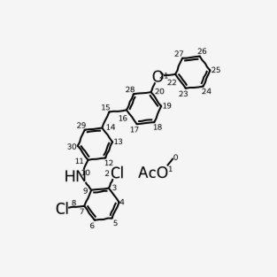 COC(C)=O.Clc1cccc(Cl)c1Nc1ccc(Cc2cccc(Oc3ccccc3)c2)cc1